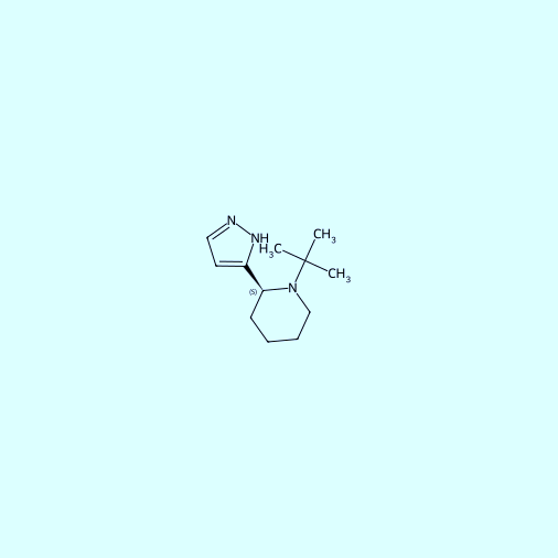 CC(C)(C)N1CCCC[C@H]1c1ccn[nH]1